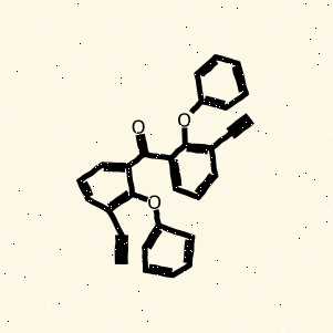 C#Cc1cccc(C(=O)c2cccc(C#C)c2Oc2ccccc2)c1Oc1ccccc1